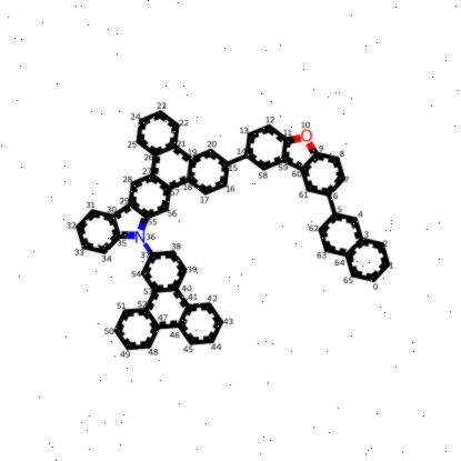 c1ccc2cc(-c3ccc4oc5ccc(-c6ccc7c(c6)c6ccccc6c6cc8c9ccccc9n(-c9ccc%10c%11ccccc%11c%11ccccc%11c%10c9)c8cc76)cc5c4c3)ccc2c1